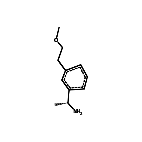 COCCc1cccc([C@@H](C)N)c1